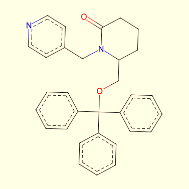 O=C1CCCC(COC(c2ccccc2)(c2ccccc2)c2ccccc2)N1Cc1ccncc1